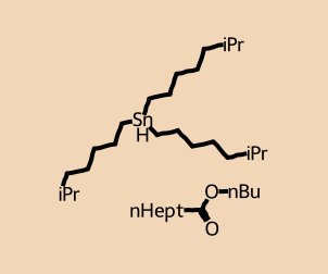 CC(C)CCCC[CH2][SnH]([CH2]CCCCC(C)C)[CH2]CCCCC(C)C.CCCCCCCC(=O)OCCCC